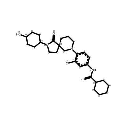 O=C(Nc1ccc(N2CCC[C@]3(CCN(C4CCC(O)CC4)C3=O)C2)c(Cl)c1)C1CCCCC1